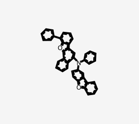 c1ccc(-c2cccc3c2oc2c4ccccc4c(N(c4ccccc4)c4ccc5oc6ccccc6c5c4)cc32)cc1